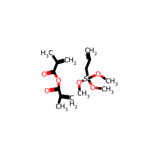 C=C(C)C(=O)OC(=O)C(=C)C.C=CC[Si](OC)(OC)OC